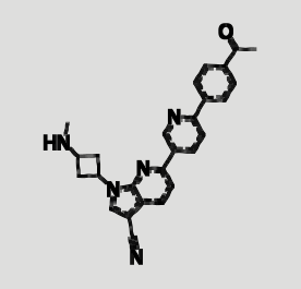 CNC1CC(n2cc(C#N)c3ccc(-c4ccc(-c5ccc(C(C)=O)cc5)nc4)nc32)C1